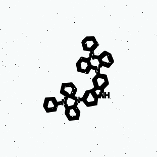 c1ccc(N2c3ccccc3N(c3ccc4[nH]c5ccc(N6c7ccccc7N(c7ccccc7)c7ccccc76)cc5c4c3)c3ccccc32)cc1